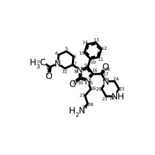 CC(=O)N1CCCC(n2c(-c3ccccc3)c(C(=O)N3CCNCC3)n(CCCN)c2=O)C1